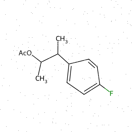 CC(=O)OC(C)C(C)c1ccc(F)cc1